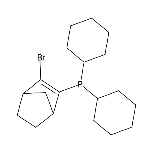 BrC1=C(P(C2CCCCC2)C2CCCCC2)C2CCC1C2